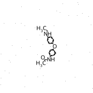 CCNc1ccc(Oc2ccc(NC(C)=O)cc2)cc1